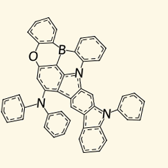 c1ccc(N(c2ccccc2)c2cc3c4c5c2c2cc6c7ccccc7n(-c7ccccc7)c6cc2n5-c2ccccc2B4c2ccccc2O3)cc1